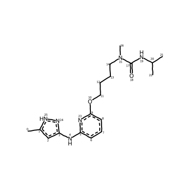 Cc1cc(Nc2cccc(OCCCCN(C)C(=O)NC(C)C)n2)n[nH]1